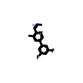 C/C=C\c1ncc(-c2cc(F)cc(F)c2)cc1C